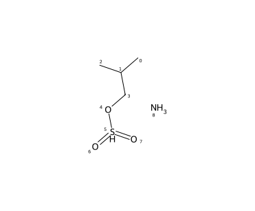 CC(C)CO[SH](=O)=O.N